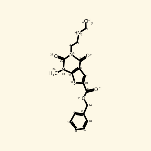 CCNCCn1c(=O)c2cc(C(=O)OCc3ccccc3)sc2n(C)c1=O